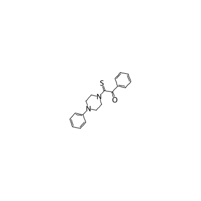 O=C(C(=S)N1CCN(c2ccccc2)CC1)c1ccccc1